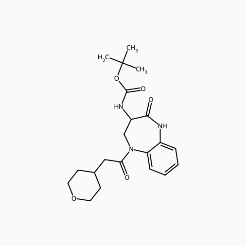 CC(C)(C)OC(=O)NC1CN(C(=O)CC2CCOCC2)c2ccccc2NC1=O